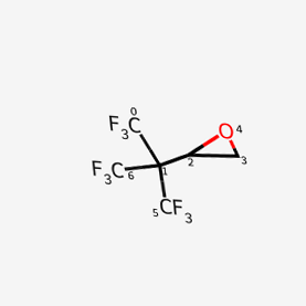 FC(F)(F)C(C1CO1)(C(F)(F)F)C(F)(F)F